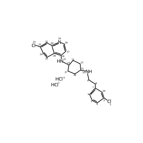 Cl.Cl.Clc1cccc(CCNC2CCC(Nc3ccnc4cc(Cl)ccc34)CC2)c1